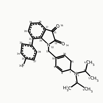 CC(C)N(C(C)C)C1C=CC(CN2C(=O)C(=O)c3cccc(-c4ccc(F)cc4)c32)=CC1